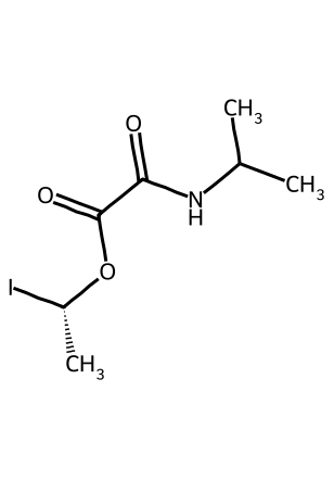 CC(C)NC(=O)C(=O)O[C@H](C)I